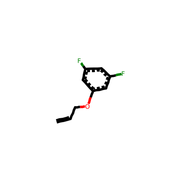 C=CCOc1cc(F)cc(F)c1